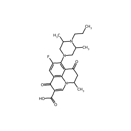 CCCN1C(C)CN(c2c(F)cc3c(=O)c(C(=O)O)cn4c3c2C(=O)CC4C)CC1C